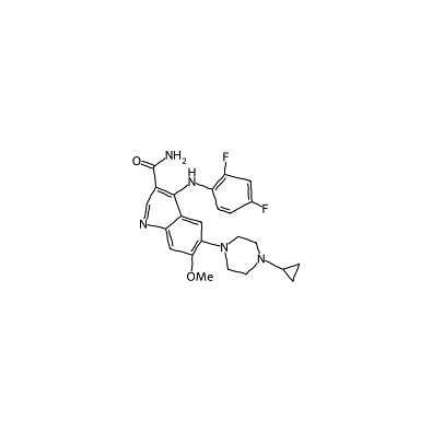 COc1cc2ncc(C(N)=O)c(Nc3ccc(F)cc3F)c2cc1N1CCN(C2CC2)CC1